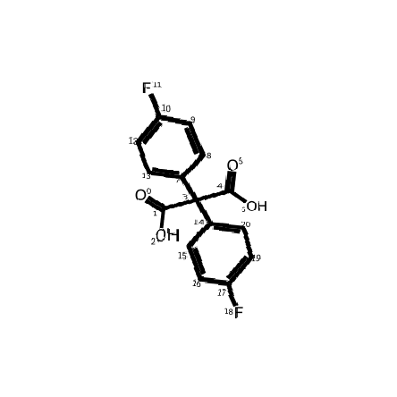 O=C(O)C(C(=O)O)(c1ccc(F)cc1)c1ccc(F)cc1